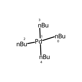 CCC[CH2][Pd]([CH2]CCC)([CH2]CCC)[CH2]CCC